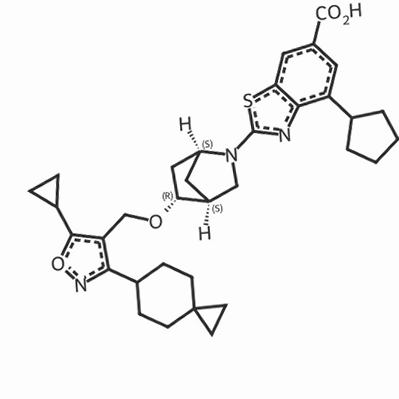 O=C(O)c1cc(C2CCCC2)c2nc(N3C[C@@H]4C[C@H]3C[C@H]4OCc3c(C4CCC5(CC4)CC5)noc3C3CC3)sc2c1